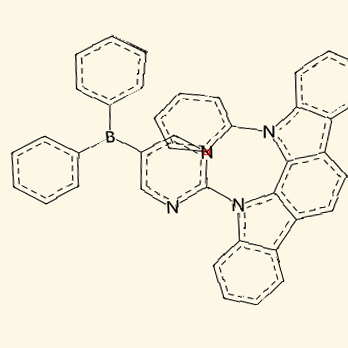 c1ccc(B(c2ccccc2)c2cnc(-n3c4ccccc4c4ccc5c6ccccc6n(-c6ccccc6)c5c43)nc2)cc1